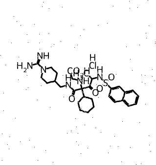 CC(NS(=O)(=O)c1ccc2ccccc2c1)C(=O)C(NCC(=O)O)(C(=O)NCC1CCN(C(=N)N)CC1)C1CCCCC1.Cl